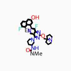 CCc1c(F)ccc2cc(O)cc(-c3ncc4c(N5CCCC(NC(=O)NC)C5)nc(OCC56CCCN5CCC6)nc4c3F)c12